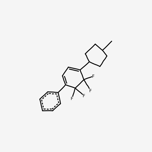 CC1CCC(C2=CC=C(c3ccccc3)C(F)(F)C2(F)F)CC1